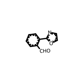 O=Cc1ccccc1-c1ncco1